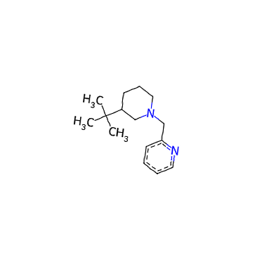 CC(C)(C)C1CCCN(Cc2ccccn2)C1